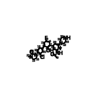 CC(=O)Nc1cc(-c2cc(F)cc(-c3ccc(N4CCN(C)C4=O)c(Cl)c3)c2O)cc(N2CCNCC2)n1